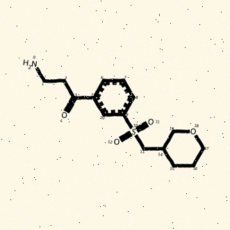 NCCC(=O)c1cccc(S(=O)(=O)CC2CCCOC2)c1